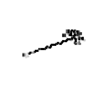 CCCCCCCCCCCCCCCCC[N+](C(C)C)(C(C)C)C(C)C